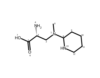 CN(C[C@@H](N)C(=O)O)C1CCCCN1